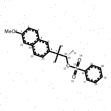 COc1ccc2cc(C(C)(C)[C@H](C)OS(=O)(=O)c3ccccc3)ccc2c1